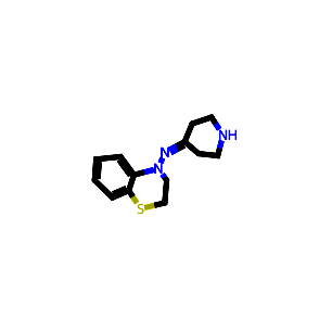 c1ccc2c(c1)SCCN2N=C1CCNCC1